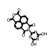 O=C1OC(=O)c2ccc3c4c(ccc1c24)C(=O)N(c1nc(O)nc(O)n1)C3=O